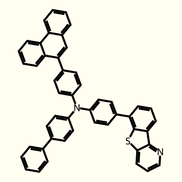 c1ccc(-c2ccc(N(c3ccc(-c4cc5ccccc5c5ccccc45)cc3)c3ccc(-c4cccc5c4sc4cccnc45)cc3)cc2)cc1